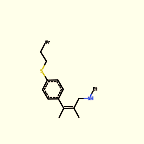 CCNCC(C)=C(C)c1ccc(SCCC(C)C)cc1